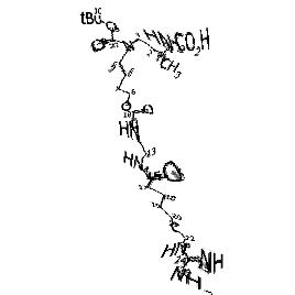 C[C@H](CCN(CCCCOC(=O)NCNC(=O)CCCCCCNC(=N)N)C(=O)OC(C)(C)C)NC(=O)O